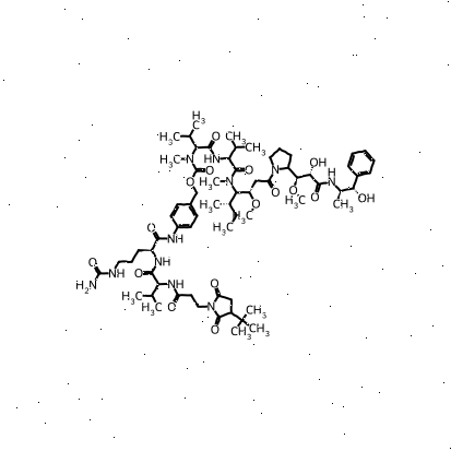 CC[C@H](C)C([C@@H](CC(=O)N1CCCC1[C@H](OC)[C@H](O)C(=O)N[C@H](C)[C@@H](O)c1ccccc1)OC)N(C)C(=O)C(NC(=O)C(C(C)C)N(C)C(=O)OCc1ccc(NC(=O)[C@H](CCCNC(N)=O)NC(=O)C(NC(=O)CCN2C(=O)CC(C(C)(C)C)C2=O)C(C)C)cc1)C(C)C